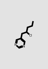 CCCC(Cl)Cc1cncnc1